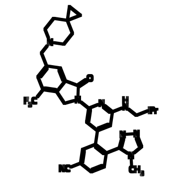 CC(C)CNc1cc(-c2cc(C#N)ccc2-c2nncn2C)cc(N2Cc3c(cc(CN4CCC5(CC4)CC5)cc3C(F)(F)F)C2=O)n1